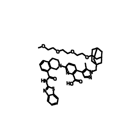 COCCOCCOCCOC12CC3CC(CC(Cn4ncc(-c5ccc(N6CCc7cccc(C(=O)Nc8nc9ccccc9s8)c7C6)nc5C(=O)O)c4C)(C3)C1)C2